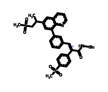 CC(CS(C)(=O)=O)c1cc(-c2cccc(/C=C(/C(=O)NC(C)(C)C)c3ccc(S(C)(=O)=O)cc3)c2)c2ncccc2c1